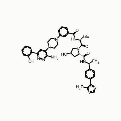 Cc1ncsc1-c1ccc([C@H](C)NC(=O)[C@@H]2C[C@@H](O)CN2C(=O)[C@@H](NC(=O)c2cccc(N3CCN(c4cc(-c5ccccc5O)nnc4N)CC3)c2)C(C)(C)C)cc1